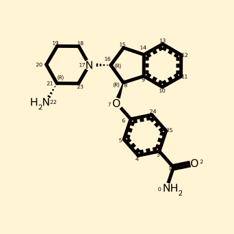 NC(=O)c1ccc(O[C@@H]2c3ccccc3C[C@H]2N2CCC[C@@H](N)C2)cc1